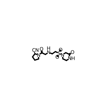 N#C[C@@H]1CCCN1C(=O)CNCCS(=O)(=O)N1CCNC(=O)C1